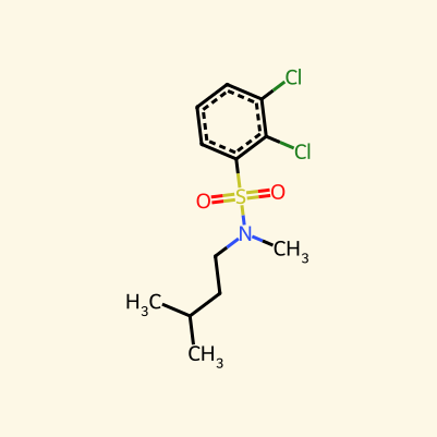 CC(C)CCN(C)S(=O)(=O)c1cccc(Cl)c1Cl